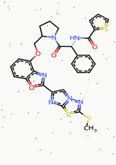 CSc1nn2cc(-c3nc4c(OCC5CCCN5C(=O)[C@H](NC(=O)c5cccs5)c5ccccc5)cccc4o3)nc2s1